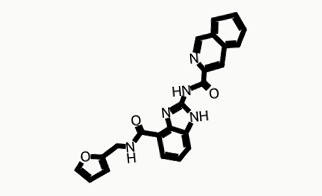 O=C(Nc1nc2c(C(=O)NCc3ccco3)cccc2[nH]1)c1cc2ccccc2cn1